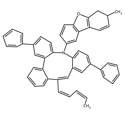 C/C=C\C=C/c1cc2cc(-c3ccccc3)ccc2n(-c2ccc3oc4c(c3c2)C=CC(C)C4)c2ccc(-c3ccccc3)cc2c2ccccc12